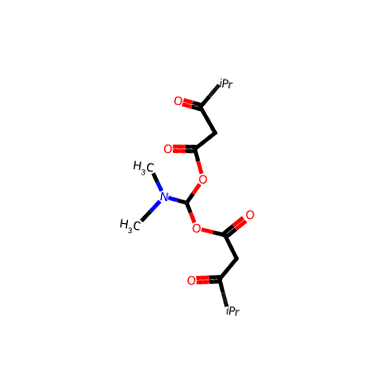 CC(C)C(=O)CC(=O)OC(OC(=O)CC(=O)C(C)C)N(C)C